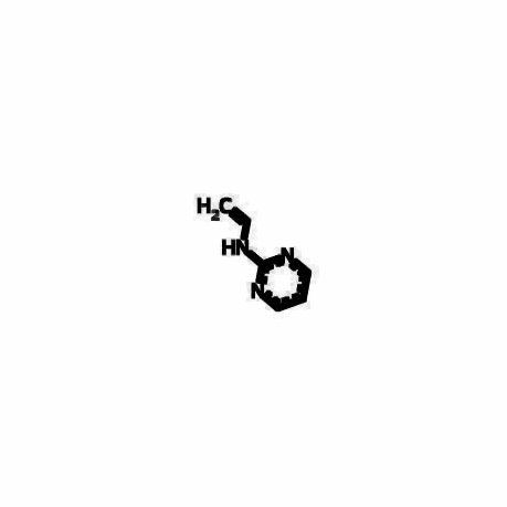 C=CNc1ncccn1